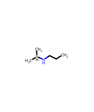 [CH2]CCN[SiH](C)C